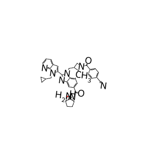 Cc1cc(C(=O)N2CC3CCC2[C@@H]3N)cc2nc(-c3cc4cccnc4n3CC3CC3)n(CC3CN(C(=O)c4ccc(C#N)cc4)C3)c12